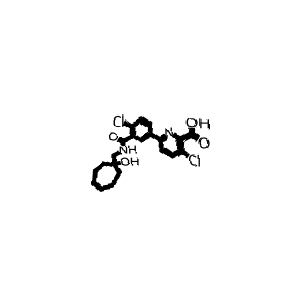 O=C(NCC1(O)CCCCCC1)c1cc(-c2ccc(Cl)c(C(=O)O)n2)ccc1Cl